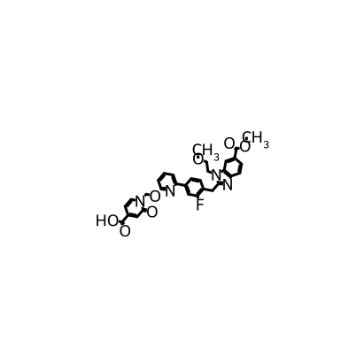 COCCn1c(Cc2ccc(-c3cccc(OCn4ccc(C(=O)O)cc4=O)n3)cc2F)nc2ccc(C(=O)OC)cc21